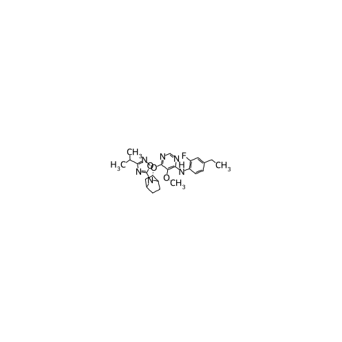 CCc1ccc(Nc2ncnc(O[C@H]3CC4CCC3N4c3nc(C(C)C)no3)c2OC)c(F)c1